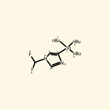 CCC[CH2][Sn]([CH2]CCC)([CH2]CCC)[c]1cn(C(F)F)cn1